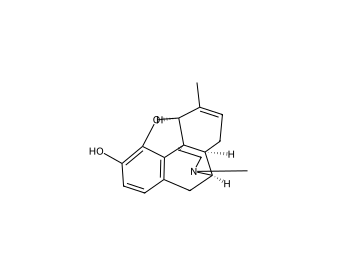 CC1=CC[C@H]2[C@H]3Cc4ccc(O)c5c4[C@@]2(CCN3C)[C@H]1O5